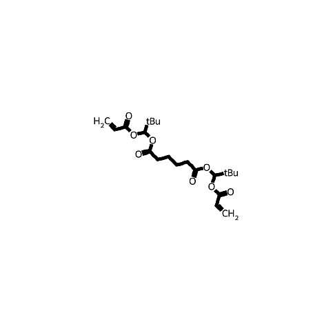 C=CC(=O)OC(OC(=O)CCCCC(=O)OC(OC(=O)C=C)C(C)(C)C)C(C)(C)C